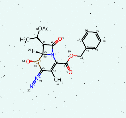 CC(=O)OC(C)[C@H]1C(=O)N2C(C(=O)OCc3ccccc3)=C(C)C(=[N+]=[N-])[S+]([O-])[C@H]12